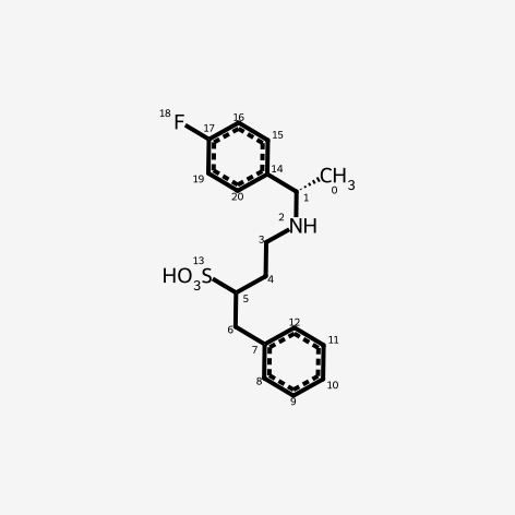 C[C@H](NCCC(Cc1ccccc1)S(=O)(=O)O)c1ccc(F)cc1